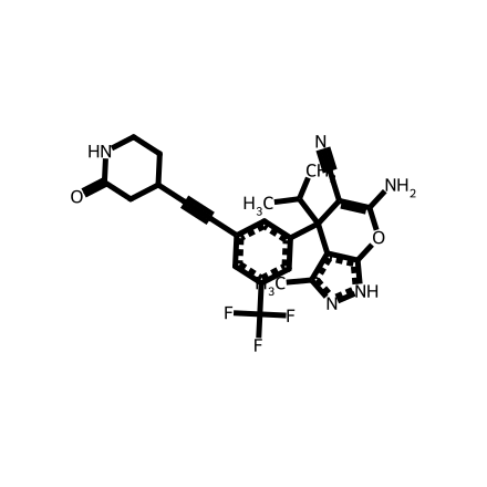 Cc1n[nH]c2c1C(c1cc(C#CC3CCNC(=O)C3)cc(C(F)(F)F)c1)(C(C)C)C(C#N)=C(N)O2